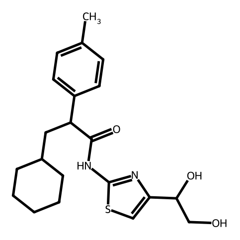 Cc1ccc(C(CC2CCCCC2)C(=O)Nc2nc(C(O)CO)cs2)cc1